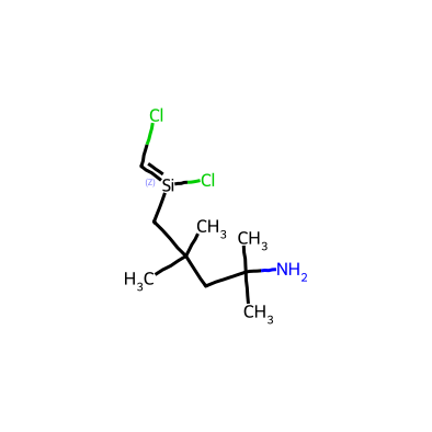 CC(C)(N)CC(C)(C)C/[Si](Cl)=C/Cl